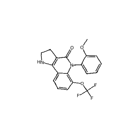 COc1ccccc1-n1c(=O)c2c(c3cccc(OC(F)(F)F)c31)NCC2